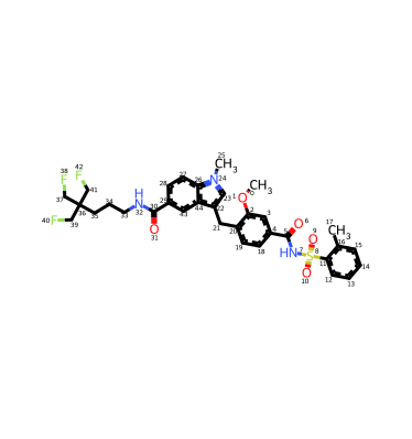 COc1cc(C(=O)NS(=O)(=O)c2ccccc2C)ccc1Cc1cn(C)c2ccc(C(=O)NCCCC(CF)(CF)CF)cc12